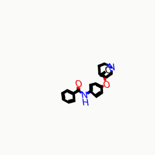 O=C(Nc1ccc(OC2CN3CCC2CC3)cc1)c1ccccc1